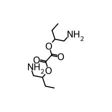 CCC(CN)OC(=O)C(=O)OC(CC)CN